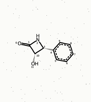 O=C1N[C@H](c2ccccc2)[C@@H]1O